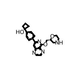 OC1(c2ccc(-c3cc4nccnc4c(OC[C@@H]4CNCCO4)n3)cc2)CCC1